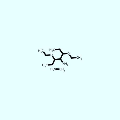 CCOC(CC)C(N)C(CC)OCC.CN